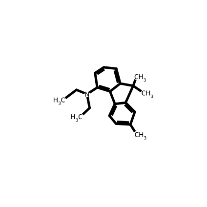 CCN(CC)c1cccc2c1-c1ccc(C)cc1C2(C)C